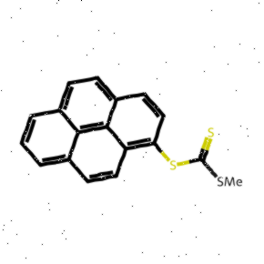 CSC(=S)Sc1ccc2ccc3cccc4ccc1c2c34